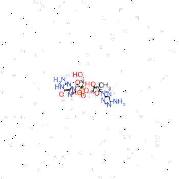 C[C@H]1[C@H](O)[C@@H](COP(=O)(O)[C@@H]2C[C@@H](CO)O[C@H]2n2cnc3c(=O)[nH]c(N)nc32)O[C@H]1n1cnc2c(N)ncnc21